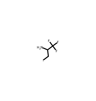 NC(CI)C(F)(F)F